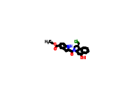 CCOC(=O)c1ccc2[nH]c(C(=O)N3C[C@@H](CCl)c4c3cc(O)c3ccccc43)cc2c1